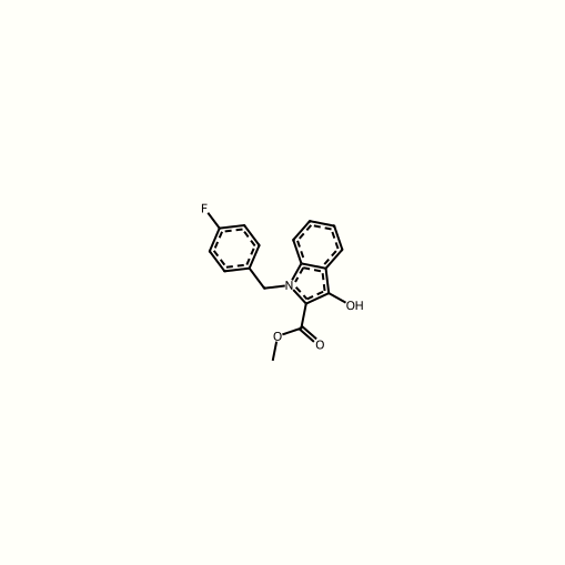 COC(=O)c1c(O)c2ccccc2n1Cc1ccc(F)cc1